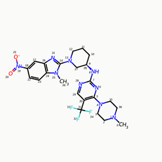 CN1CCN(c2nc(N[C@@H]3CCCN(c4nc5cc([N+](=O)[O-])ccc5n4C)C3)ncc2C(F)(F)F)CC1